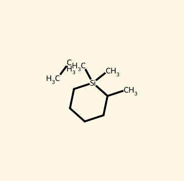 CC.CC1CCCC[Si]1(C)C